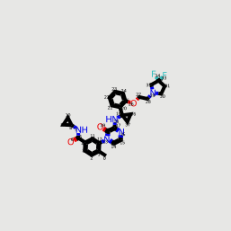 Cc1ccc(C(=O)NC2CC2)cc1-n1ccnc(NC2(c3ccccc3OCCN3CCC(F)(F)C3)CC2)c1=O